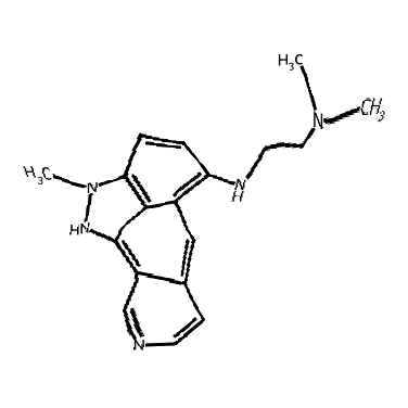 CN(C)CCNc1ccc2c3c(c4cnccc4cc13)NN2C